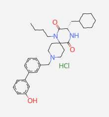 CCCCN1C(=O)[C@H](CC2CCCCC2)NC(=O)C12CCN(Cc1cccc(-c3cccc(O)c3)c1)CC2.Cl